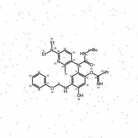 CCCCNC(=O)N(c1cc(NCOc2ccccc2)c(O)cc1OC(=N)C(C)C)c1ccc(N(CC)CC)nc1C